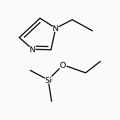 CCO[Si](C)C.CCn1ccnc1